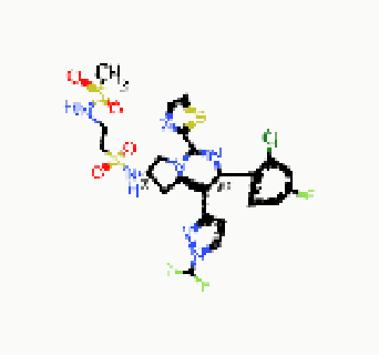 CS(=O)(=O)NCCS(=O)(=O)N[C@H]1CC2=C(c3ccn(C(F)F)n3)[C@H](c3ccc(F)cc3Cl)N=C(c3nccs3)N2C1